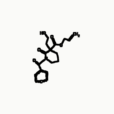 C=CCOC(=O)C1(CCO)CCCN(C(=O)c2ccccc2)C1=O